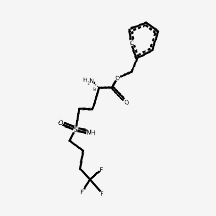 N=S(=O)(CCCC(F)(F)F)CC[C@H](N)C(=O)OCc1ccccc1